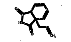 C=CCC12C=CC=CC1C(=O)NC2=O